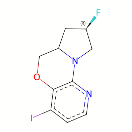 F[C@@H]1CC2COc3c(I)ccnc3N2C1